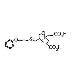 O=C(O)CCC1(CCC(=O)O)OCC(CSCCCOc2ccccc2)S1